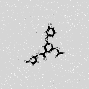 CC(C)Oc1cc(C(=O)Nc2ccn(C)n2)cc(Oc2cccc(F)c2)n1